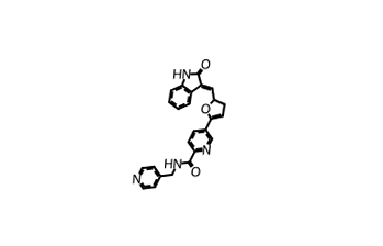 O=C1Nc2ccccc2/C1=C\C1CC=C(c2ccc(C(=O)NCc3ccncc3)nc2)O1